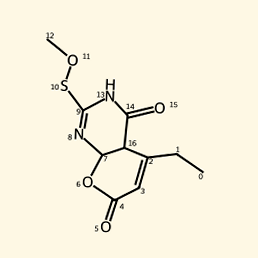 CCC1=CC(=O)OC2N=C(SOC)NC(=O)C12